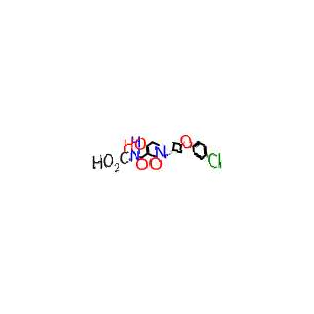 O=C(O)CNC(=O)C1=C(O)CCN(C[C@H]2C[C@@H](Oc3ccc(Cl)cc3)C2)C1=O